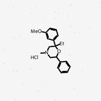 CCC1(c2cccc(OC)c2)CN(C)CC(c2ccccc2)O1.Cl